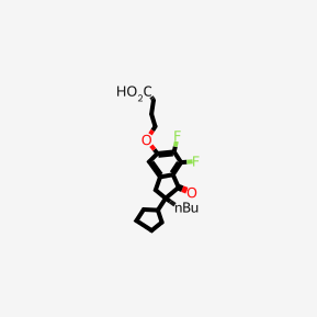 CCCCC1(C2CCCC2)Cc2cc(OCCCC(=O)O)c(F)c(F)c2C1=O